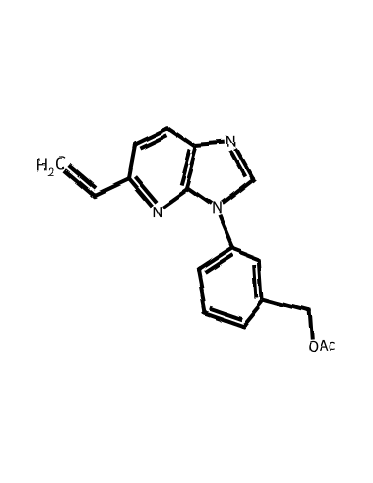 C=Cc1ccc2ncn(-c3cccc(COC(C)=O)c3)c2n1